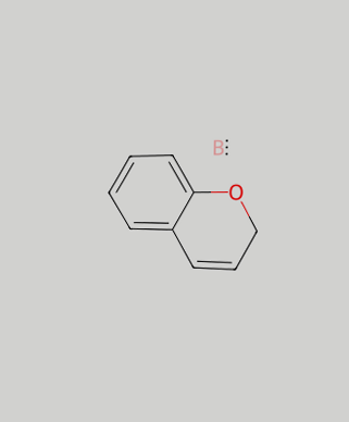 C1=Cc2ccccc2OC1.[B]